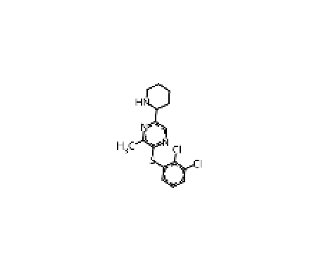 Cc1nc(C2CCCCN2)cnc1Sc1cccc(Cl)c1Cl